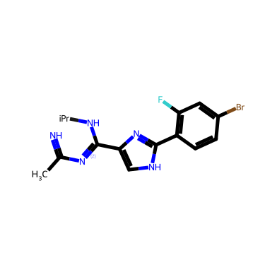 CC(=N)/N=C(\NC(C)C)c1c[nH]c(-c2ccc(Br)cc2F)n1